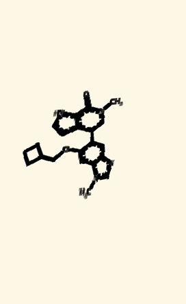 Cn1cc(-c2cc3ncn(C)c3cc2OCC2CCC2)c2cc[nH]c2c1=O